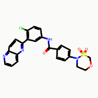 O=C(Nc1ccc(Cl)c(-c2ccc3ncccc3n2)c1)c1ccc(N2CCOCS2(=O)=O)cc1